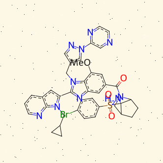 COc1cc(C(=O)N2CC3CCC2C3(N)S(=O)(=O)c2ccc(Br)cc2)cc2nc(-c3cc4cccnc4n3CC3CC3)n(Cc3cnn(-c4cnccn4)c3)c12